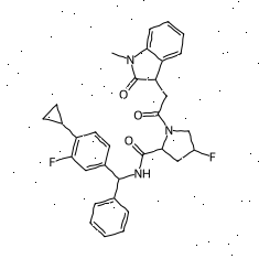 CN1C(=O)C(CC(=O)N2CC(F)CC2C(=O)NC(c2ccccc2)c2ccc(C3CC3)c(F)c2)c2ccccc21